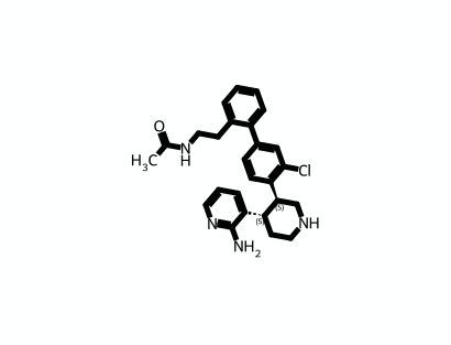 CC(=O)NCCc1ccccc1-c1ccc([C@H]2CNCC[C@@H]2c2cccnc2N)c(Cl)c1